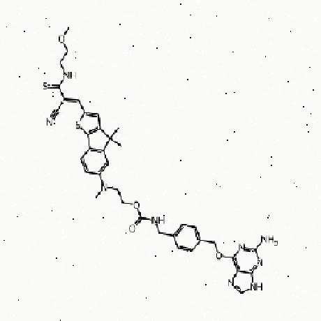 COCCNC(=S)/C(C#N)=C/c1cc2c(s1)-c1ccc(N(C)CCOC(=O)NCc3ccc(COc4nc(N)nc5[nH]cnc45)cc3)cc1C2(C)C